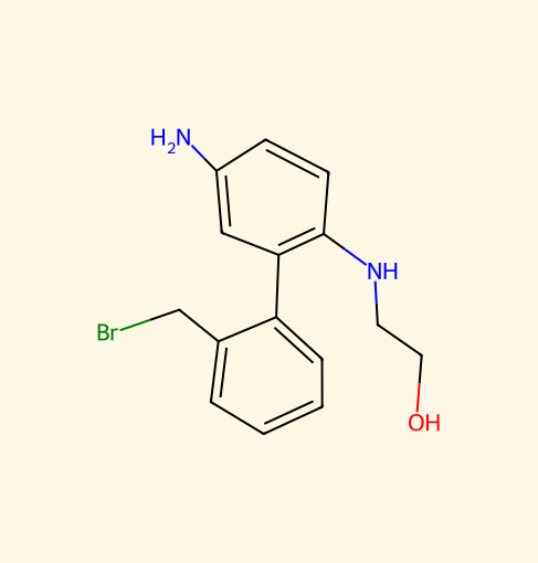 Nc1ccc(NCCO)c(-c2ccccc2CBr)c1